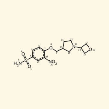 NS(=O)(=O)c1ccc(OCC2CCN(C3COC3)C2)c([N+](=O)[O-])c1